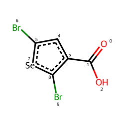 O=C(O)c1cc(Br)[se]c1Br